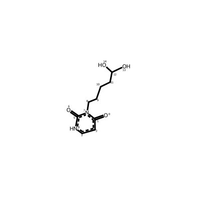 O=c1cc[nH]c(=O)n1CCCCC(O)O